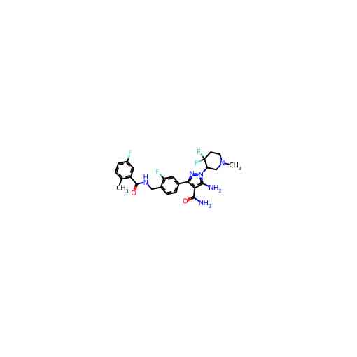 Cc1ccc(F)cc1C(=O)NCc1ccc(-c2nn(C3CN(C)CCC3(F)F)c(N)c2C(N)=O)cc1F